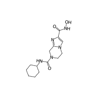 O=C(NO)c1cn2c(n1)CN(C(=O)NC1CCCCC1)CC2